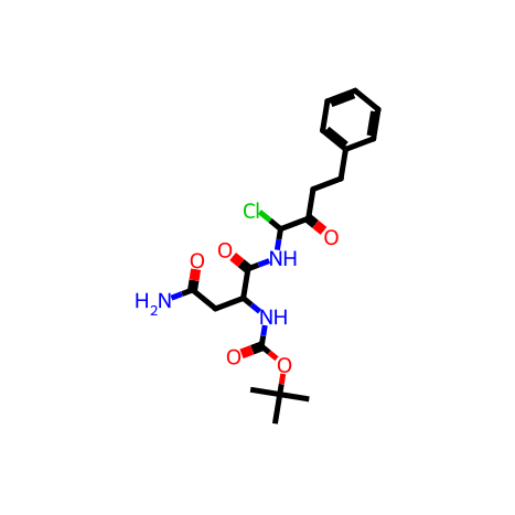 CC(C)(C)OC(=O)NC(CC(N)=O)C(=O)NC(Cl)C(=O)CCc1ccccc1